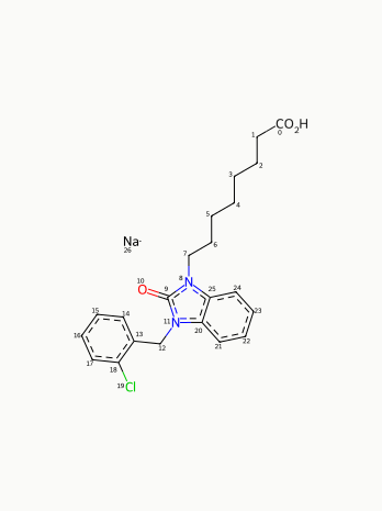 O=C(O)CCCCCCCn1c(=O)n(Cc2ccccc2Cl)c2ccccc21.[Na]